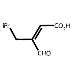 CC(C)C/C(C=O)=C/C(=O)O